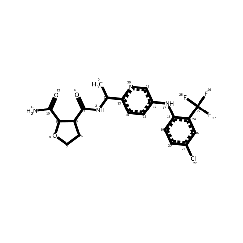 CC(NC(=O)C1CCOC1C(N)=O)c1ccc(Nc2ccc(Cl)cc2C(F)(F)F)cn1